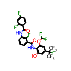 O=C(Nc1cccc(C(=O)Nc2c(O)cc(C(F)(C(F)(F)F)C(F)(F)F)cc2OC(F)F)c1F)c1ccc(F)cc1F